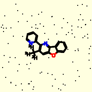 [2H]C([2H])([2H])c1cc2oc3ccccc3c2nc1-c1ccccn1